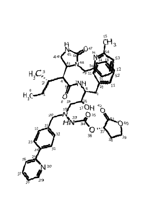 CC[C@H](C)[C@H](C(=O)N[C@@H](Cc1ccccc1)[C@@H](O)CN(Cc1ccc(-c2ccccn2)cc1)NC(=O)O[C@H]1CCOC1=O)C1CNC(=O)N1Cc1cccc(C)n1